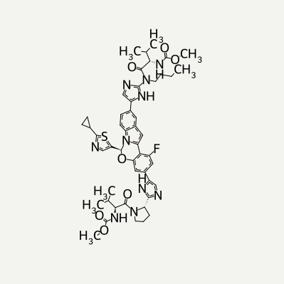 CCCCN(C(=O)[C@@H](NC(=O)OC)C(C)C)c1ncc(-c2ccc3c(c2)cc2n3[C@H](c3cnc(C4CC4)s3)Oc3cc(-c4cnc([C@@H]5CCCN5C(=O)[C@@H](NC(=O)OC)C(C)C)[nH]4)cc(F)c3-2)[nH]1